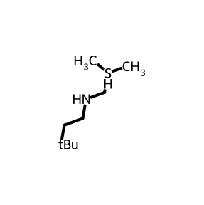 C[SH](C)CNCCC(C)(C)C